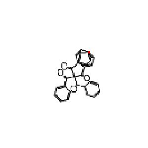 O=C(c1ccccc1)C(C(=O)c1ccccc1)(C(=O)c1ccccc1)C(=O)c1ccccc1